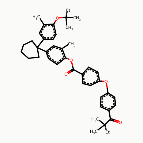 CCC(C)(C)Oc1ccc(C2(c3ccc(OC(=O)c4ccc(Oc5ccc(C(=O)C(C)(C)CC)cc5)cc4)c(C)c3)CCCCC2)cc1C